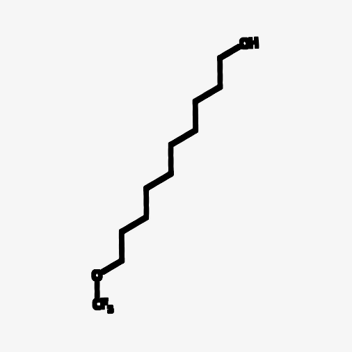 OCCCCCCCCCCOC(F)(F)F